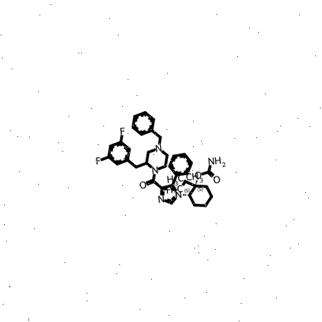 CC(C)(C)[C@@]1(OC(N)=O)CCCC[C@@H]1n1cnc(C(=O)N2CCN(Cc3ccccc3)CC2Cc2cc(F)cc(F)c2)c1-c1ccccc1